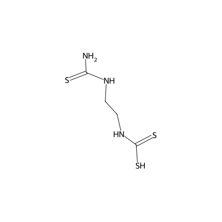 NC(=S)NCCNC(=S)S